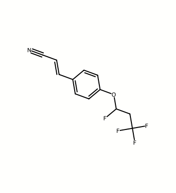 N#CC=Cc1ccc(OC(F)CC(F)(F)F)cc1